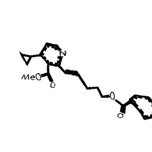 COC(=O)c1c(C2CC2)ccnc1C=CCCCOC(=O)c1ccccc1